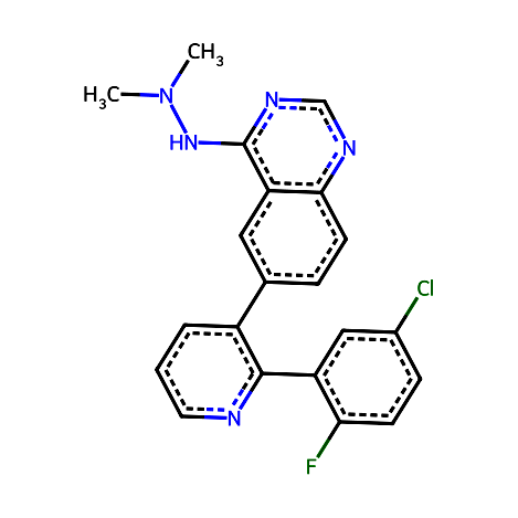 CN(C)Nc1ncnc2ccc(-c3cccnc3-c3cc(Cl)ccc3F)cc12